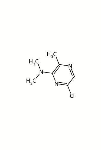 Cc1ncc(Cl)nc1N(C)C